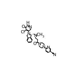 CN(CCC(=O)N1CCN(c2ccc(C#N)cn2)CC1)C[C@@H]1c2ccccc2CN1c1cn[nH]c(=O)c1Cl